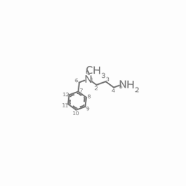 CN(CCCN)Cc1ccccc1